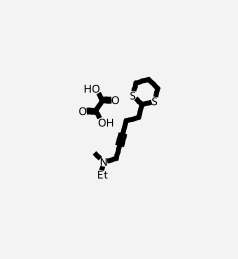 CCN(C)CC#CCCC1SCCCS1.O=C(O)C(=O)O